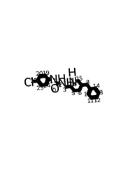 O=C(NCC1CCC(Cc2ccccc2)CN1)Nc1ccc(Cl)cc1